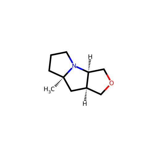 C[C@]12CCCN1[C@H]1COC[C@H]1C2